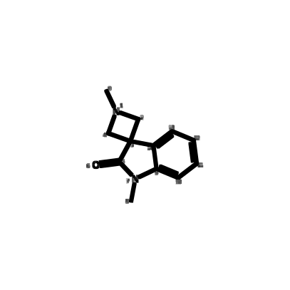 CN1CC2(C1)C(=O)N(C)c1ccccc12